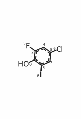 Oc1c(F)cc(Cl)cc1I